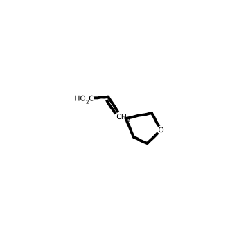 C1CCOC1.C=CC(=O)O